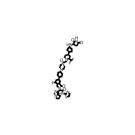 O=C1CCC(Nc2ccc(C3CCN(CC(=O)N4CCN(c5ccc(-c6cc(F)c7c(c6)C(=O)N(C(C(=O)Nc6nccs6)c6ncn8c6CCC8)C7)cc5)CC4)C(C(F)F)C3)cc2)C(=O)N1